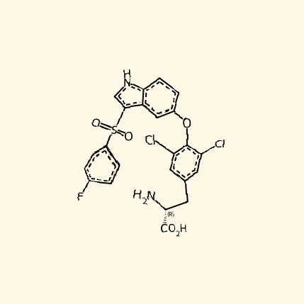 N[C@H](Cc1cc(Cl)c(Oc2ccc3[nH]cc(S(=O)(=O)c4ccc(F)cc4)c3c2)c(Cl)c1)C(=O)O